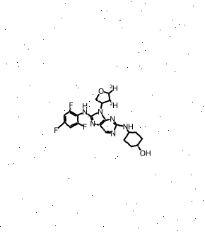 [2H]C1OCC(n2c(Nc3c(F)cc(F)cc3F)nc3cnc(NC4CCC(O)CC4)nc32)C1[2H]